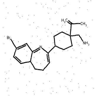 C=C(C)C1(CN)CCC(C2=CCCC3C=CC(Br)=CC3=N2)CC1